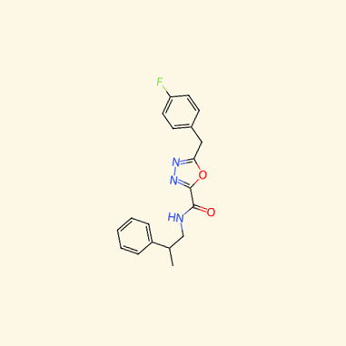 CC(CNC(=O)c1nnc(Cc2ccc(F)cc2)o1)c1ccccc1